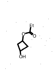 CCC(=O)OC1CC(O)C1